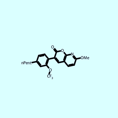 CCCCCc1ccc(-c2cc3ccc(OC)nc3oc2=O)c(OC(F)(F)F)c1